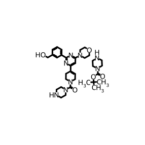 CC(C)(C)OC(=O)N1CCNCC1.O=C(N1CC=C(c2cc(N3CCOCC3)nc(-c3cccc(CO)c3)n2)CC1)N1CCNCC1